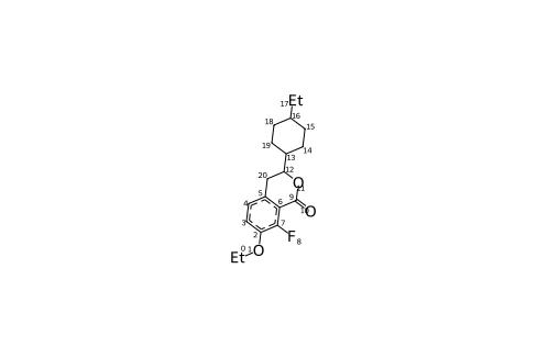 CCOc1ccc2c(c1F)C(=O)OC(C1CCC(CC)CC1)C2